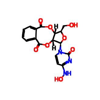 O=C1O[C@@H]2[C@H](OC(=O)c3ccccc31)[C@@H](CO)O[C@H]2n1ccc(NO)nc1=O